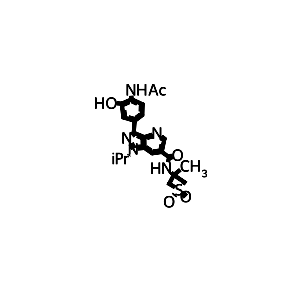 CC(=O)Nc1ccc(-c2nn(C(C)C)c3cc(C(=O)NC4(C)CS(=O)(=O)C4)cnc23)cc1O